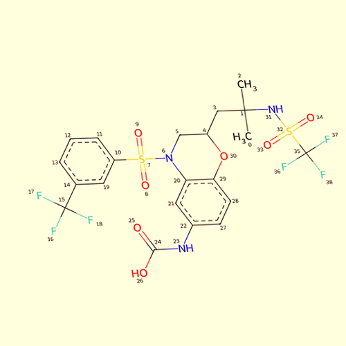 CC(C)(CC1CN(S(=O)(=O)c2cccc(C(F)(F)F)c2)c2cc(NC(=O)O)ccc2O1)NS(=O)(=O)C(F)(F)F